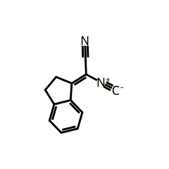 [C-]#[N+]/C(C#N)=C1/CCc2ccccc21